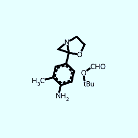 CC(C)(C)OC=O.Cc1cc(C23CN2CCO3)ccc1N